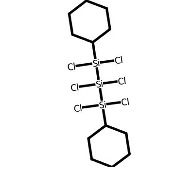 Cl[Si](Cl)(C1CCCCC1)[Si](Cl)(Cl)[Si](Cl)(Cl)C1CCCCC1